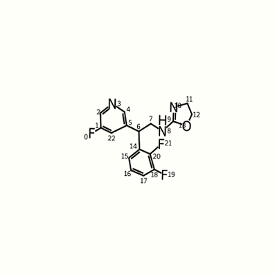 Fc1cncc(C(CNC2=NCCO2)c2cccc(F)c2F)c1